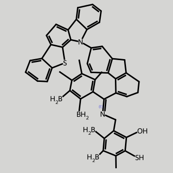 Bc1c(B)c(/C(=N/Cc2c(B)c(B)c(C)c(S)c2O)C2=CCCC3=C2c2ccc(-n4c5ccccc5c5ccc6c7ccccc7sc6c54)cc2C3)c(C)c(C)c1C